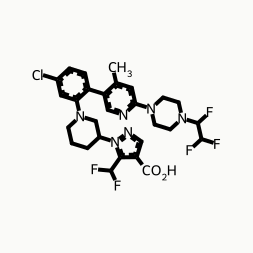 Cc1cc(N2CCN(C(F)C(F)F)CC2)ncc1-c1ccc(Cl)cc1N1CCCC(n2ncc(C(=O)O)c2C(F)F)C1